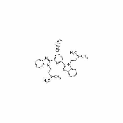 CN(C)CCn1c(-c2cccc(-c3nc4ccccc4n3CCN(C)C)n2)nc2ccccc21.[Cl-].[Cl-].[Cl-].[V+3]